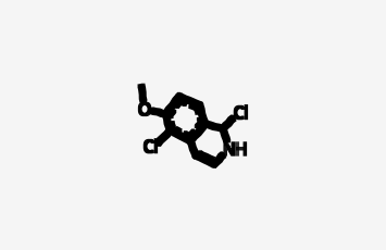 COc1ccc2c(c1Cl)C=CNC2Cl